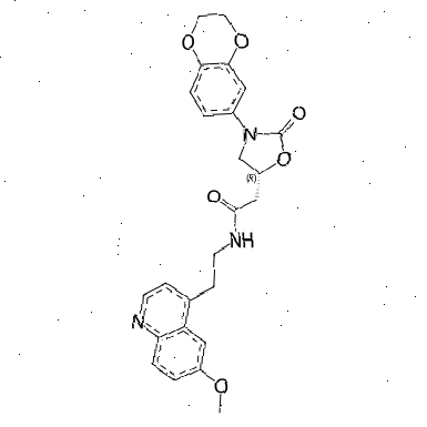 COc1ccc2nccc(CCNC(=O)C[C@@H]3CN(c4ccc5c(c4)OCCO5)C(=O)O3)c2c1